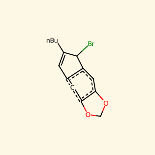 CCCCC1=Cc2cc3c(cc2C1Br)OCO3